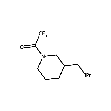 CC(C)CC1CCCN(C(=O)C(F)(F)F)C1